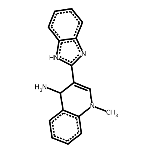 CN1C=C(c2nc3ccccc3[nH]2)C(N)c2ccccc21